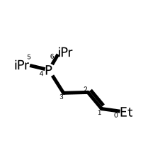 CCC=CCP(C(C)C)C(C)C